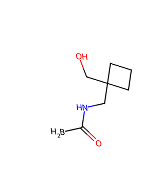 BC(=O)NCC1(CO)CCC1